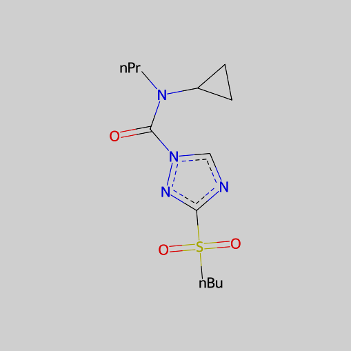 CCCCS(=O)(=O)c1ncn(C(=O)N(CCC)C2CC2)n1